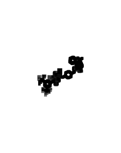 CC1CCC2C(C)(C)C2(N(C(=O)OCC2CCC(CNS(=O)(=O)NC(=O)c3cc(C(F)(F)F)cc(C(F)(F)F)c3)CC2)c2ccccc2)C1